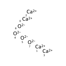 [Ca+2].[Ca+2].[Ca+2].[Ca+2].[O-2].[O-2].[O-2].[O-2]